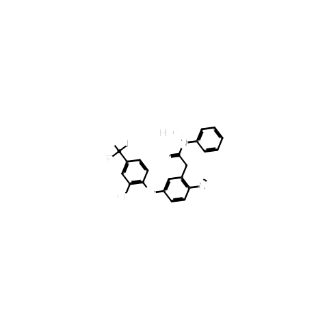 CN(C(=O)Cc1cc(Oc2ccc(C(F)(F)F)cc2Cl)ccc1[N+](=O)[O-])c1ccccc1